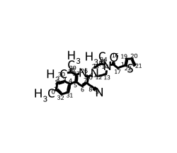 Cc1ccc(-c2cc(C#N)c(N3CCN(C(=O)Cc4cccs4)[C@H](C)C3)nc2C(C)C)cc1